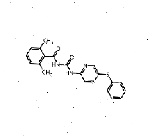 Cc1cccc(C)c1C(=O)NC(=O)Nc1cnc(Sc2ccccc2)cn1